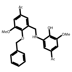 COc1cc(C(C)=O)cc(NCc2cc(C(C)=O)cc(OC)c2OCc2ccccc2)c1O